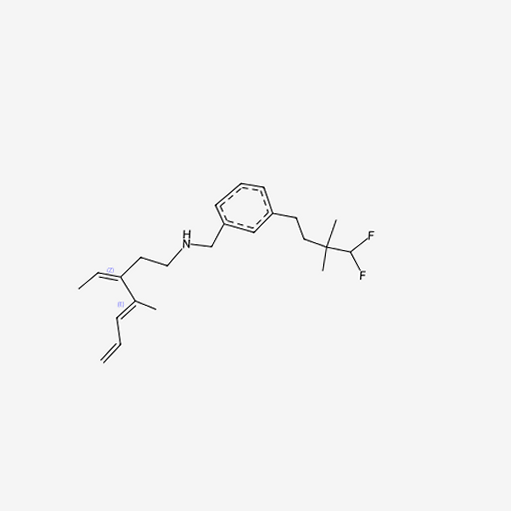 C=C/C=C(C)/C(=C\C)CCNCc1cccc(CCC(C)(C)C(F)F)c1